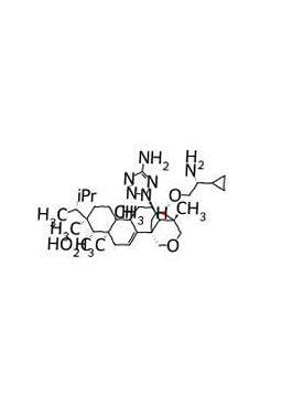 CC(C)[C@@H](C)[C@@]1(C)CC[C@]2(C)[C@H]3CC[C@@H]4[C@@]5(COC[C@@]4(C)[C@@H](OC[C@H](N)C4CC4)[C@H](n4nnc(N)n4)C5)C3=CC[C@@]2(C)[C@@H]1C(=O)O